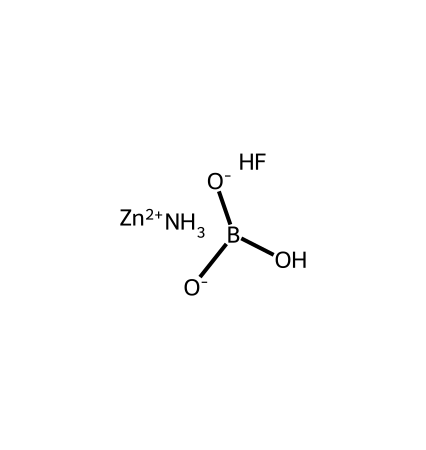 F.N.[O-]B([O-])O.[Zn+2]